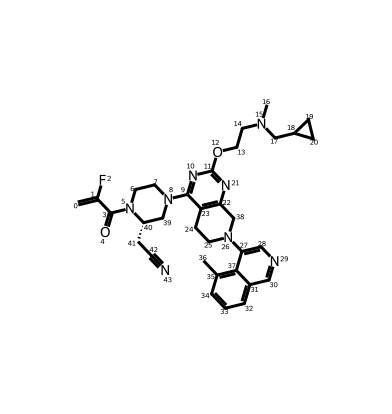 C=C(F)C(=O)N1CCN(c2nc(OCCN(C)CC3CC3)nc3c2CCN(c2cncc4cccc(C)c24)C3)C[C@@H]1CC#N